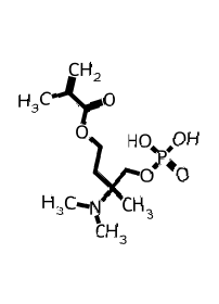 C=C(C)C(=O)OCCC(C)(COP(=O)(O)O)N(C)C